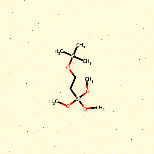 CO[Si](CCO[Si](C)(C)C)(OC)OC